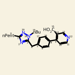 CCCCCc1nc(Cc2ccc(-c3ccncc3C(=O)O)cc2)n(CCCC)n1